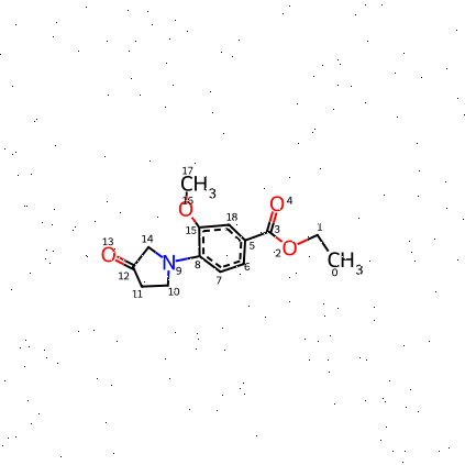 CCOC(=O)c1ccc(N2CCC(=O)C2)c(OC)c1